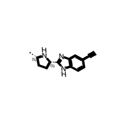 C#Cc1ccc2[nH]c([C@@H]3CC[C@H](C)N3)nc2c1